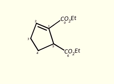 CCOC(=O)C1=CCCC1C(=O)OCC